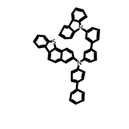 c1ccc(-c2ccc(N(c3cccc(-c4cccc(-n5c6ccccc6c6ccccc65)c4)c3)c3ccc4c(ccc5c6ccccc6sc45)c3)cc2)cc1